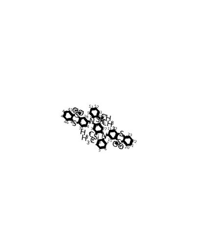 C[Si]1(C)c2ccccc2N(c2ccc3c(c2)S(=O)(=O)c2ccccc2S3)c2cc3c(cc21)N(c1ccc2c(c1)S(=O)(=O)c1ccccc1S2)c1ccccc1[Si]3(C)C